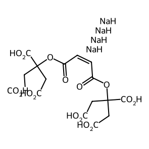 O=C(O)CC(CC(=O)O)(OC(=O)/C=C\C(=O)OC(CC(=O)O)(CC(=O)O)C(=O)O)C(=O)O.[NaH].[NaH].[NaH].[NaH]